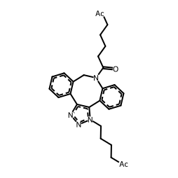 CC(=O)CCCCC(=O)N1Cc2ccccc2-c2nnn(CCCCC(C)=O)c2-c2ccccc21